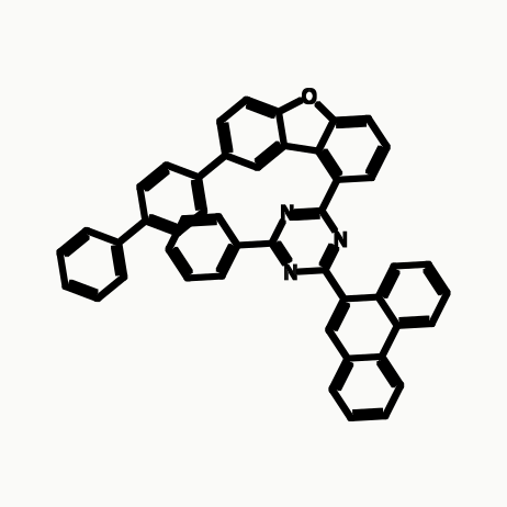 c1ccc(-c2ccc(-c3ccc4oc5cccc(-c6nc(-c7ccccc7)nc(-c7cc8ccccc8c8ccccc78)n6)c5c4c3)cc2)cc1